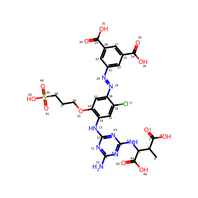 CC(C(=O)O)C(Nc1nc(N)nc(Nc2cc(Cl)c(N=Nc3cc(C(=O)O)cc(C(=O)O)c3)cc2OCCCS(=O)(=O)O)n1)C(=O)O